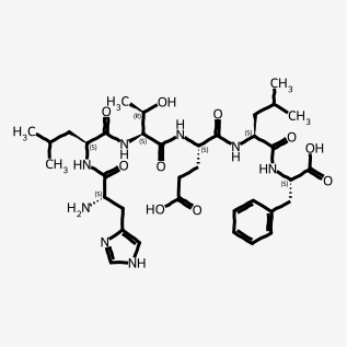 CC(C)C[C@H](NC(=O)[C@H](CCC(=O)O)NC(=O)[C@@H](NC(=O)[C@H](CC(C)C)NC(=O)[C@@H](N)Cc1c[nH]cn1)[C@@H](C)O)C(=O)N[C@@H](Cc1ccccc1)C(=O)O